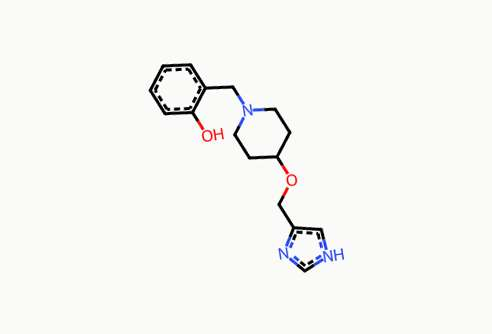 Oc1ccccc1CN1CCC(OCc2c[nH]cn2)CC1